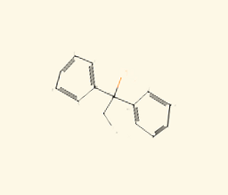 [SiH3]CC(P)(c1ccccc1)c1ccccc1